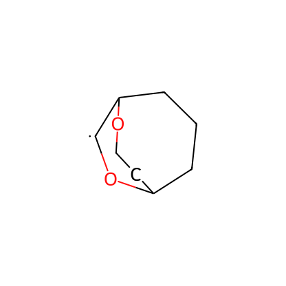 [CH]1OC2CCCC1OCC2